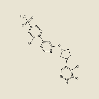 Cc1cc(S(C)(=O)=O)ccc1-c1ccnc(O[C@@H]2CCN(c3cn[nH]c(=O)c3Cl)C2)c1